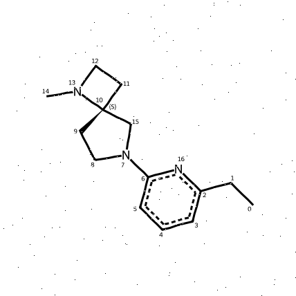 CCc1cccc(N2CC[C@@]3(CCN3C)C2)n1